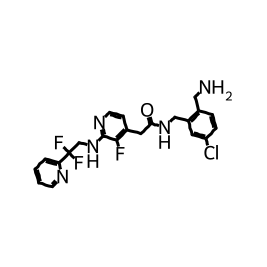 NCc1ccc(Cl)cc1CNC(=O)Cc1ccnc(NCC(F)(F)c2ccccn2)c1F